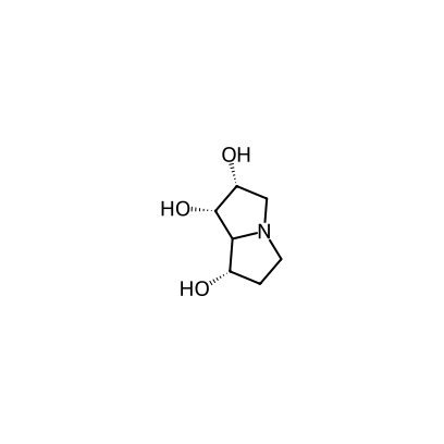 O[C@@H]1CN2CC[C@H](O)C2[C@@H]1O